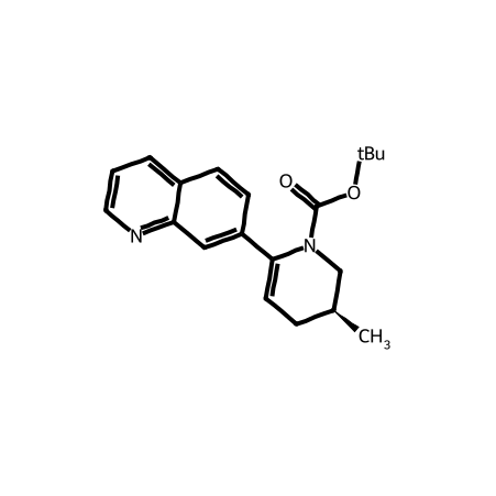 C[C@H]1CC=C(c2ccc3cccnc3c2)N(C(=O)OC(C)(C)C)C1